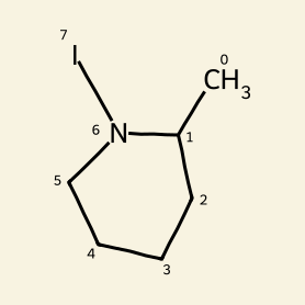 CC1CCCCN1I